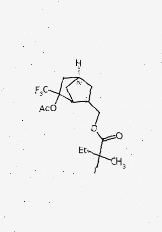 CCC(C)(I)C(=O)OCC1C[C@H]2CC1C(OC(C)=O)(C(F)(F)F)C2